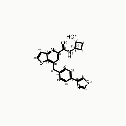 O=C(N[C@@H]1CC[C@H]1O)c1cc(Cc2ccc(-c3cscn3)cc2)c2sccc2n1